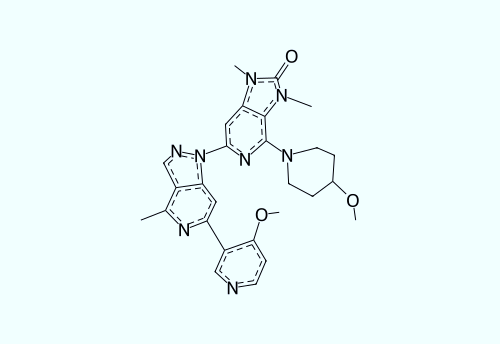 COc1ccncc1-c1cc2c(cnn2-c2cc3c(c(N4CCC(OC)CC4)n2)n(C)c(=O)n3C)c(C)n1